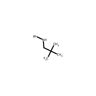 CC(C)NCC(C)(C)C(F)(F)F